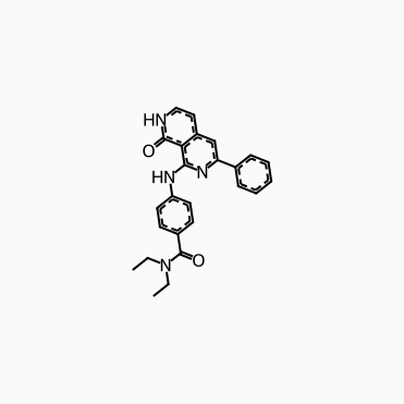 CCN(CC)C(=O)c1ccc(Nc2nc(-c3ccccc3)cc3cc[nH]c(=O)c23)cc1